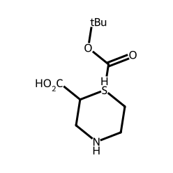 CC(C)(C)OC(=O)[SH]1CCNCC1C(=O)O